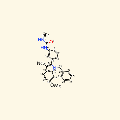 CCCNC(=O)Nc1cccc(-c2c(C#N)c3ccc(OC)cc3n2Cc2ccccc2)c1